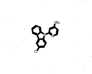 CC(C)(C)c1ccnc(-n2c3ccccc3c3cc(Cl)ccc32)c1